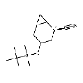 CC(C)(C)[Si](C)(C)OC1CC2CC2[C@@H](C#N)C1